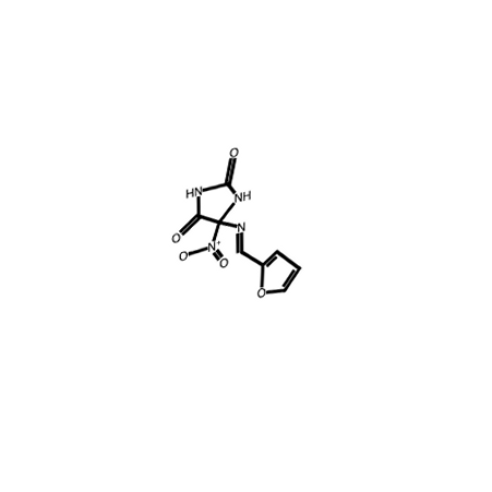 O=C1NC(=O)C(N=Cc2ccco2)([N+](=O)[O-])N1